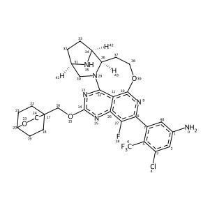 Nc1cc(Cl)c(C(F)(F)F)c(-c2nc3c4c(nc(OCC56CCC(CC5)OC6)nc4c2F)N2C[C@H]4CC[C@H](N4)[C@H]2CCO3)c1